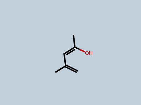 C=C(C)/C=C(/C)O